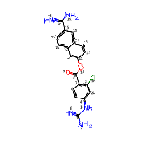 N=C(N)Nc1ccc(C(=O)Oc2ccc3cc(C(=N)N)ccc3c2)c(Cl)c1